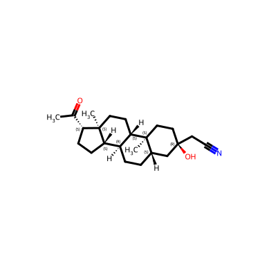 CC(=O)[C@H]1CC[C@H]2[C@@H]3CC[C@H]4C[C@@](O)(CC#N)CC[C@]4(C)[C@H]3CC[C@]12C